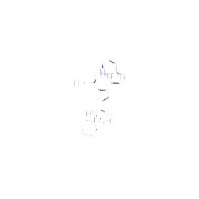 C=C(C)c1sc(C(=O)N[C@]2(N)CCCCC2(F)F)cc1-c1cnc2cccnn12